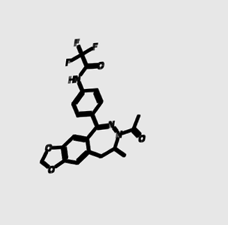 CC(=O)N1N=C(c2ccc(NC(=O)C(F)(F)F)cc2)c2cc3c(cc2CC1C)OCO3